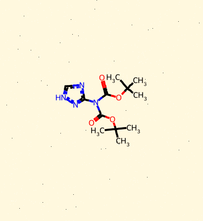 CC(C)(C)OC(=O)N(C(=O)OC(C)(C)C)c1nc[nH]n1